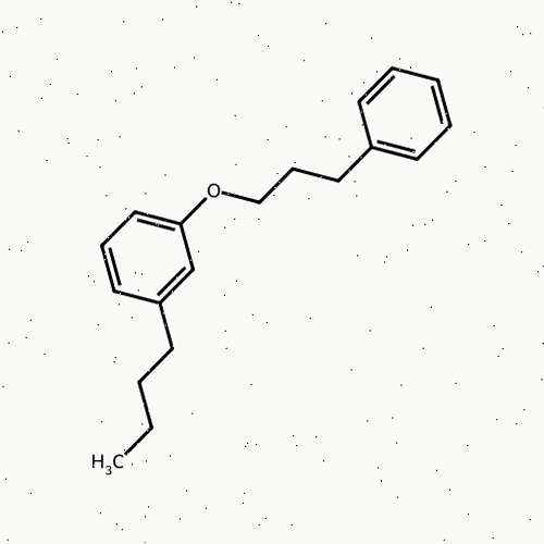 CCCCc1cccc(OCCCc2ccccc2)c1